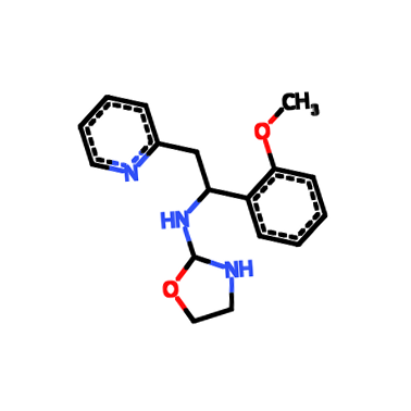 COc1ccccc1C(Cc1ccccn1)NC1NCCO1